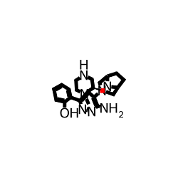 CN1CCNC[C@H]1CN1C2CCC1CN(c1cc(-c3ccccc3O)nnc1N)C2